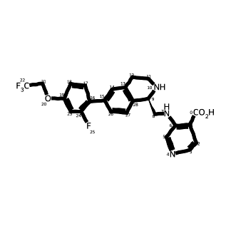 O=C(O)c1ccncc1NC[C@@H]1NCCc2cc(-c3ccc(OCC(F)(F)F)cc3F)ccc21